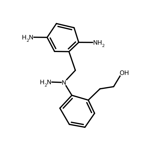 Nc1ccc(N)c(CN(N)c2ccccc2CCO)c1